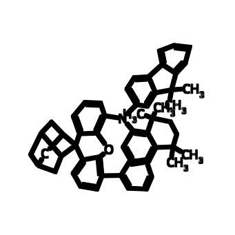 CC1(C)CCC(C)(C)c2c(N(c3ccc4c(c3)C(C)(C)c3ccccc3-4)c3cccc4c3Oc3c(-c5ccccc5)cccc3C43C4CC5CC6CC3C64C5)cccc21